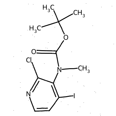 CN(C(=O)OC(C)(C)C)c1c(I)ccnc1Cl